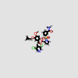 COc1ccc([C@H](Cc2c(Cl)cncc2Cl)OC(=O)[C@@H]2CCCN2S(=O)(=O)c2cccc(C(=O)N(C)C)c2)cc1OCC1CC1